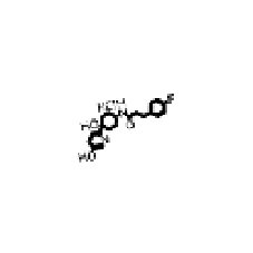 Cl.O=C(CCc1ccc(F)cc1)N[C@H]1CC[C@](O)(c2ccc(O)cn2)CC1